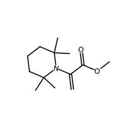 C=C(C(=O)OC)N1C(C)(C)CCCC1(C)C